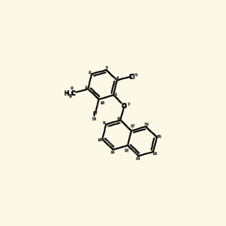 Cc1ccc(Cl)c(Oc2cccc3ccccc23)c1F